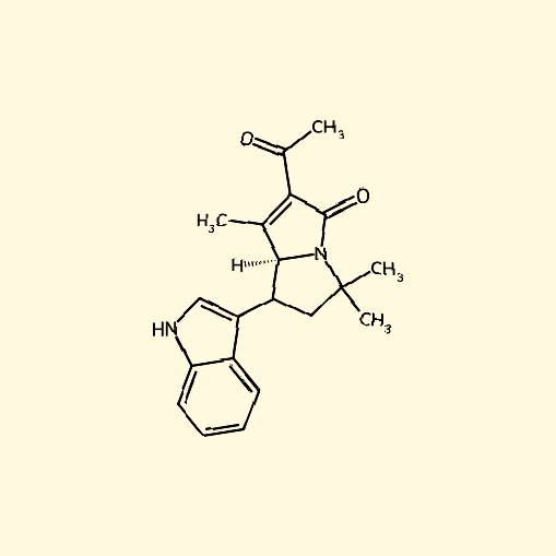 CC(=O)C1=C(C)[C@@H]2C(c3c[nH]c4ccccc34)CC(C)(C)N2C1=O